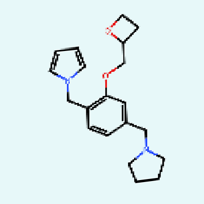 c1ccn(Cc2ccc(CN3CCCC3)cc2OCC2CCO2)c1